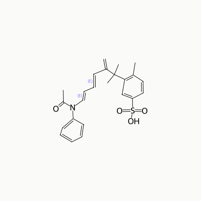 C=C(/C=C/C=C/N(C(C)=O)c1ccccc1)C(C)(C)c1cc(S(=O)(=O)O)ccc1C